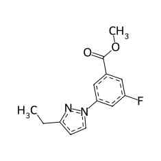 CCc1ccn(-c2cc(F)cc(C(=O)OC)c2)n1